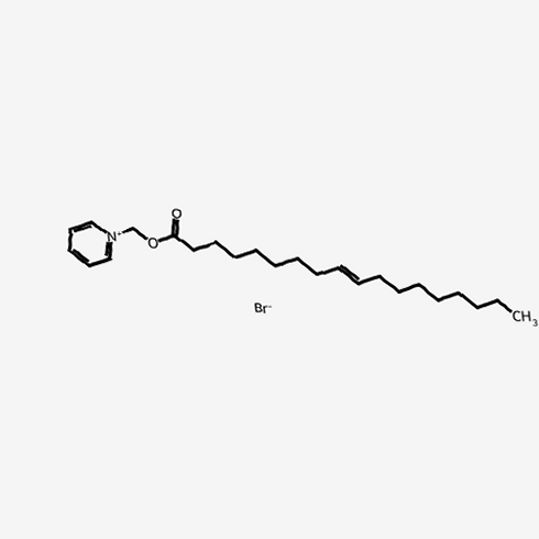 CCCCCCCCC=CCCCCCCCC(=O)OC[n+]1ccccc1.[Br-]